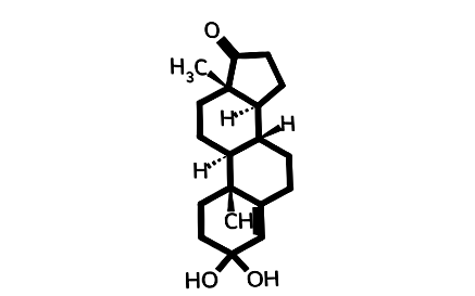 C[C@]12CCC(O)(O)C=C1CC[C@@H]1[C@@H]2CC[C@]2(C)C(=O)CC[C@@H]12